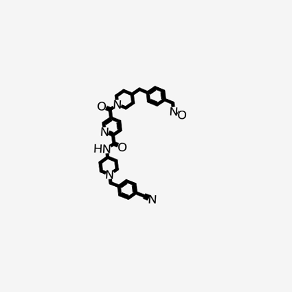 N#Cc1ccc(CN2CCC(NC(=O)c3ccc(C(=O)N4CCC(Cc5ccc(CN=O)cc5)CC4)cn3)CC2)cc1